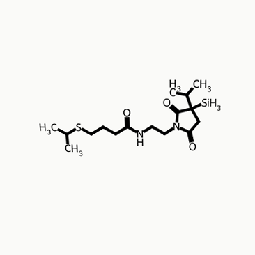 CC(C)SCCCC(=O)NCCN1C(=O)CC([SiH3])(C(C)C)C1=O